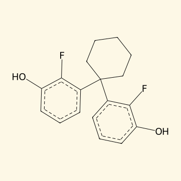 Oc1cccc(C2(c3cccc(O)c3F)CCCCC2)c1F